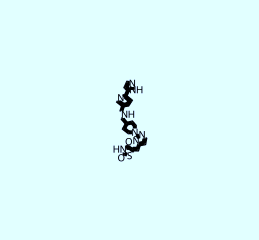 O=C1NC(=O)/C(=C\c2ccnc(N3CCC(CNCc4ccc(-c5ccn[nH]5)nc4)CC3)n2)S1